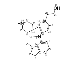 CC1CCc2ncnc(N3CC4(CCNCC4)c4cc(CCO)ccc43)c21